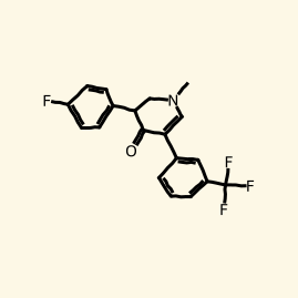 CN1C=C(c2cccc(C(F)(F)F)c2)C(=O)C(c2ccc(F)cc2)C1